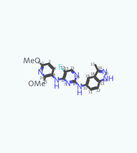 COc1ccc(Nc2nc(Nc3ccc4[nH]nc(C)c4c3)ncc2F)c(OC)n1